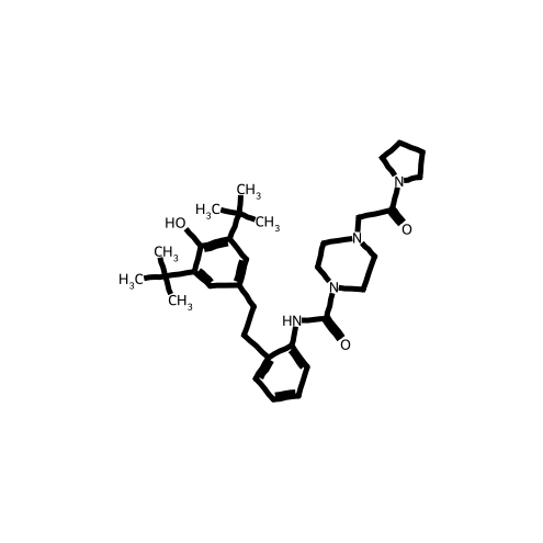 CC(C)(C)c1cc(CCc2ccccc2NC(=O)N2CCN(CC(=O)N3CCCC3)CC2)cc(C(C)(C)C)c1O